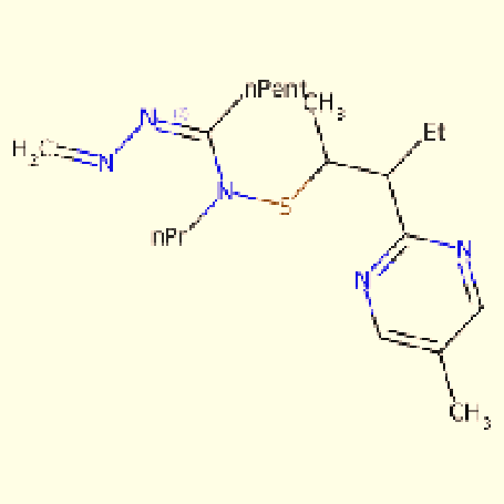 C=N/N=C(/CCCCC)N(CCC)SC(C)C(CC)c1ncc(C)cn1